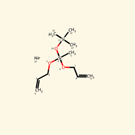 C=CCO[Si](C)(OCC=C)O[Si](C)(C)C.[Na]